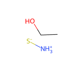 CCO.[NH3+][S-]